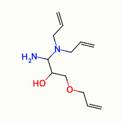 C=CCOCC(O)C(N)N(CC=C)CC=C